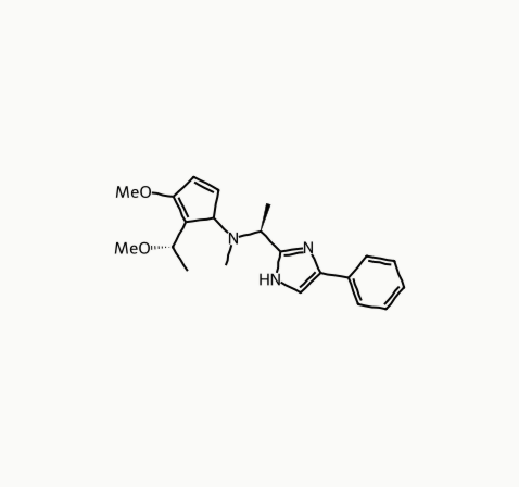 COC1=C([C@H](C)OC)C(N(C)[C@@H](C)c2nc(-c3ccccc3)c[nH]2)C=C1